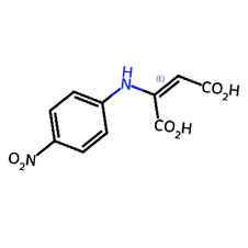 O=C(O)/C=C(/Nc1ccc([N+](=O)[O-])cc1)C(=O)O